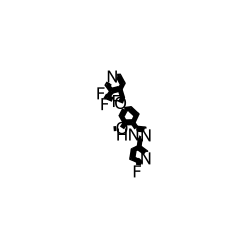 COc1cc(OCc2ccncc2C(F)(F)F)ccc1-c1cnc(-c2ccc(F)nc2)[nH]1